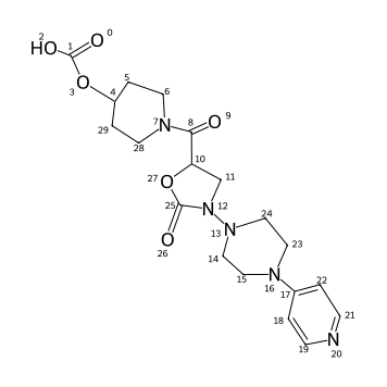 O=C(O)OC1CCN(C(=O)C2CN(N3CCN(c4ccncc4)CC3)C(=O)O2)CC1